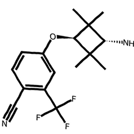 CC1(C)[C@H](N)C(C)(C)[C@H]1Oc1ccc(C#N)c(C(F)(F)F)c1